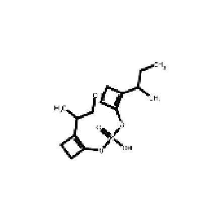 CCC(C)C1=C(OP(=O)(O)OC2=C(C(C)CC)CC2)CC1